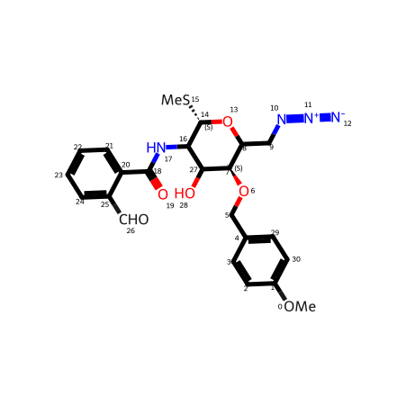 COc1ccc(CO[C@@H]2C(CN=[N+]=[N-])O[C@@H](SC)C(NC(=O)c3ccccc3C=O)C2O)cc1